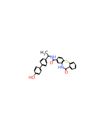 C[C@@H](NC(=O)c1ccc2c(c1)NC(=O)c1ccccc1S2)c1ccc(-c2ccc(O)cc2)cc1